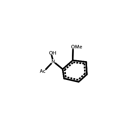 COc1ccccc1N(O)C(C)=O